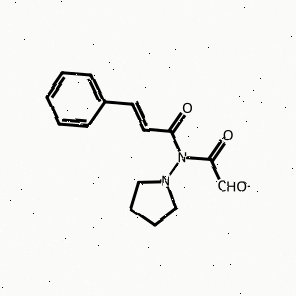 O=[C]C(=O)N(C(=O)C=Cc1ccccc1)N1CCCC1